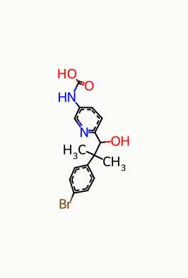 CC(C)(c1ccc(Br)cc1)C(O)c1ccc(NC(=O)O)cn1